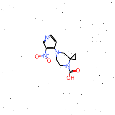 O=C(O)N1CCN(c2ccncc2[N+](=O)[O-])CC12CC2